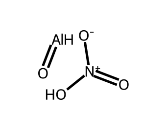 O=[N+]([O-])O.[O]=[AlH]